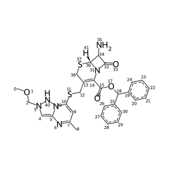 COCN1C=C2N=C(C)C=C(SCC3=C(C(=O)OC(c4ccccc4)c4ccccc4)N4C(=O)C(N)[C@H]4SC3)N2N1